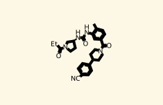 CCC(=O)N1CC[C@H](NC(=O)Nc2cc(C(=O)N3CCC(c4ccc(C#N)cc4)CC3)ccc2C)C1